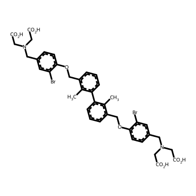 Cc1c(COc2ccc(CN(CC(=O)O)CC(=O)O)cc2Br)cccc1-c1cccc(COc2ccc(CN(CC(=O)O)CC(=O)O)cc2Br)c1C